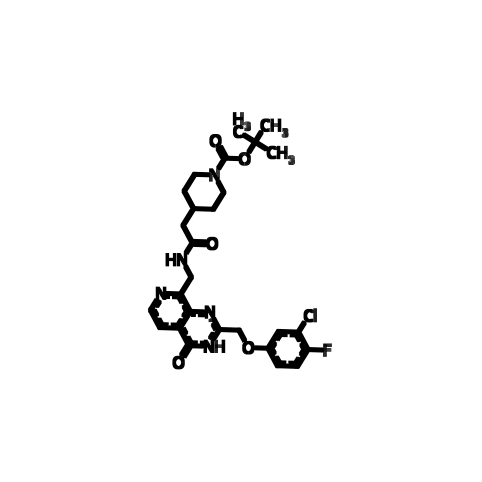 CC(C)(C)OC(=O)N1CCC(CC(=O)NCc2nccc3c(=O)[nH]c(COc4ccc(F)c(Cl)c4)nc23)CC1